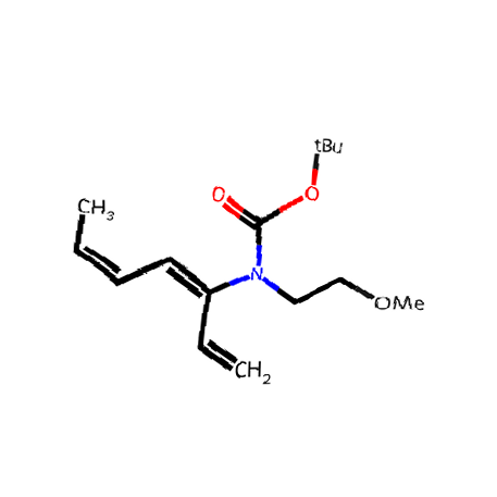 C=C/C(=C\C=C/C)N(CCOC)C(=O)OC(C)(C)C